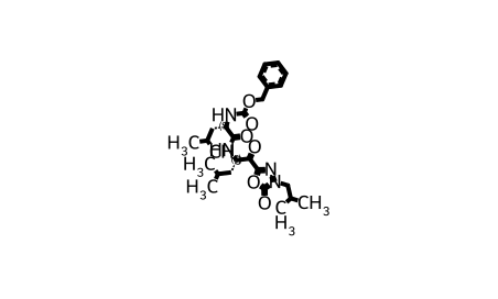 CC(C)C[C@H](NC(=O)OCc1ccccc1)C(=O)N[C@@H](CC(C)C)C(=O)c1nn(CC(C)C)c(=O)o1